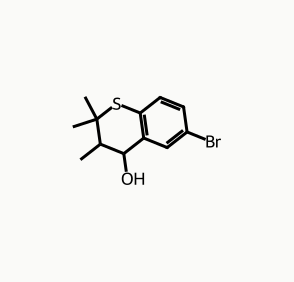 CC1C(O)c2cc(Br)ccc2SC1(C)C